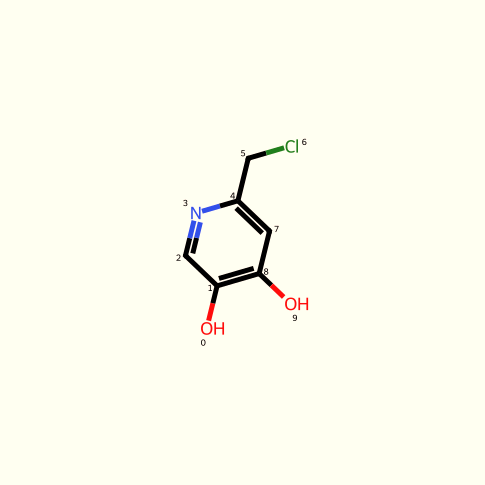 Oc1cnc(CCl)cc1O